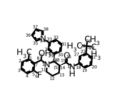 Cc1cccc(F)c1C(O)N1CCC[C@H](C(=O)Nc2cccc(C(C)(C)C)c2)[C@@H]1c1cccc(-n2cccc2)c1